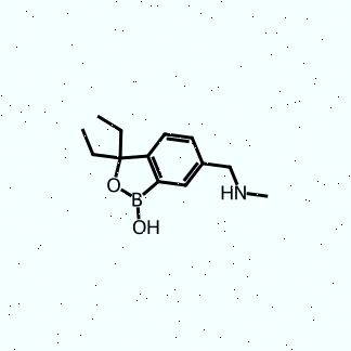 CCC1(CC)OB(O)c2cc(CNC)ccc21